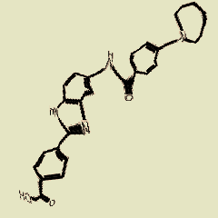 O=C(O)c1ccc(-c2nc3cc(NC(=O)c4ccc(N5CCCC5)cc4)ccc3[nH]2)cc1